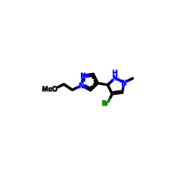 COCCn1cc(C2NN(C)C=C2Br)cn1